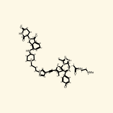 CNCCNC(=O)C[C@@H]1N=C(c2ccc(Cl)cc2)c2c(sc(C#Cc3cnn(CCCN4CCC(Nc5cccc6c5CN(C5CCC(=O)NC5=O)C6=O)CC4)c3)c2C)-n2c(C)nnc21